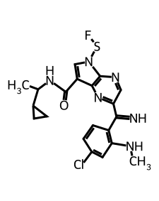 CNc1cc(Cl)ccc1C(=N)c1cnc2c(n1)c(C(=O)NC(C)C1CC1)cn2SF